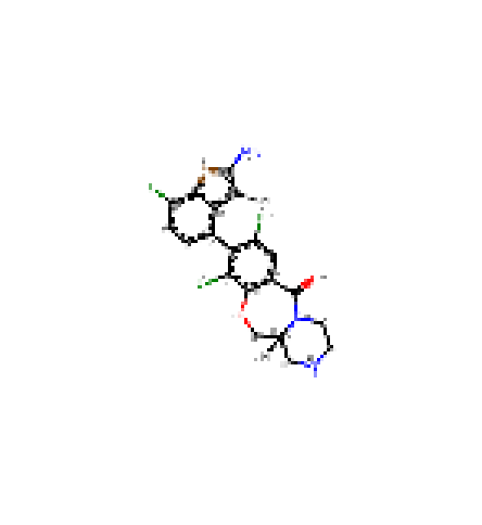 N#Cc1c(N)sc2c(F)ccc(-c3c(F)cc4c(c3Cl)OC[C@H]3CNCCN3C4=O)c12